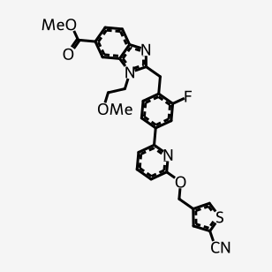 COCCn1c(Cc2ccc(-c3cccc(OCc4csc(C#N)c4)n3)cc2F)nc2ccc(C(=O)OC)cc21